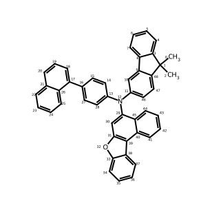 CC1(C)c2ccccc2-c2cc(N(c3ccc(-c4cccc5ccccc45)cc3)c3cc4oc5ccccc5c4c4ccccc34)ccc21